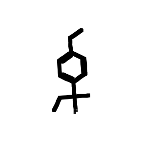 CCc1ccc(C(C)(F)CC)cc1